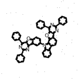 c1ccc(-c2nc(-c3ccccc3)c3oc4ccc(-n5c6ccccc6c6ccc7c8nc(-c9ccccc9)nc(-c9ccccc9)c8oc7c65)cc4c3n2)cc1